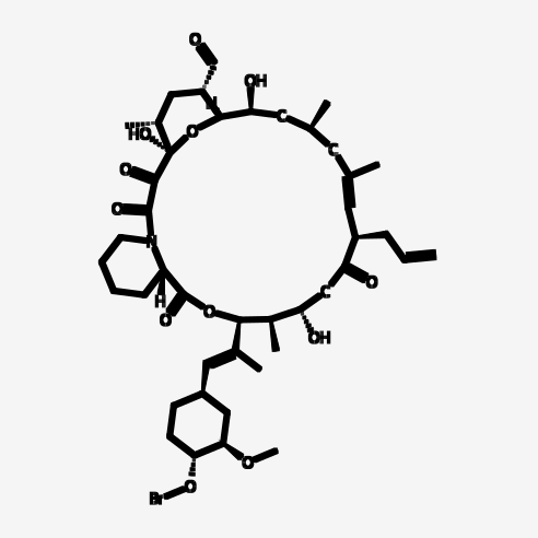 C=CC[C@@H]1/C=C(\C)C[C@H](C)C[C@H](O)[C@H]2O[C@@](O)(C(=O)C(=O)N3CCCC[C@H]3C(=O)O[C@H](/C(C)=C/[C@@H]3CC[C@@H](OBr)[C@H](OC)C3)[C@H](C)[C@@H](O)CC1=O)[C@H](C)C[C@@H]2C=O